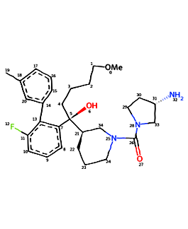 COCCCC[C@@](O)(c1cccc(F)c1-c1cccc(C)c1)[C@@H]1CCCN(C(=O)N2CC[C@H](N)C2)C1